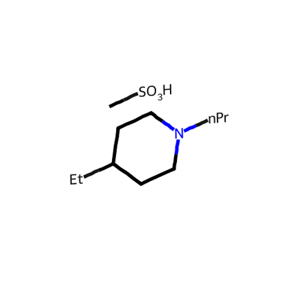 CCCN1CCC(CC)CC1.CS(=O)(=O)O